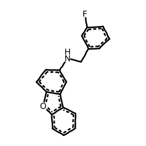 Fc1cccc(CNc2ccc3oc4ccccc4c3c2)c1